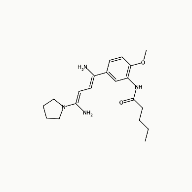 CCCCC(=O)Nc1cc(/C(N)=C/C=C(\N)N2CCCC2)ccc1OC